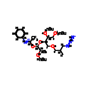 CCCCOC[C@@H](OCCCC)C(COCC(C)CN=[N+]=[N-])O[C@@H](O/C(=N/c1ccccc1)C(F)(F)F)[C@H](C)OCCCC